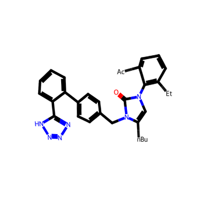 CCCCc1cn(-c2c(CC)cccc2C(C)=O)c(=O)n1Cc1ccc(-c2ccccc2-c2nnn[nH]2)cc1